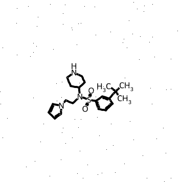 CC(C)(C)c1cccc(S(=O)(=O)N(CCn2cccc2)C2CCNCC2)c1